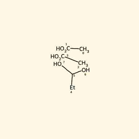 CC(=O)O.CC(=O)O.CCC(O)O